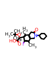 Cc1c(I)c([C@H](OC(C)(C)C)C(=O)O)c(C)c2c1CN(C1CCCCC1)C(=O)C2